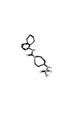 CC(C)S(=O)(=O)NC1CCN(C(=O)Nc2cccc3c2CCCC3)CC1